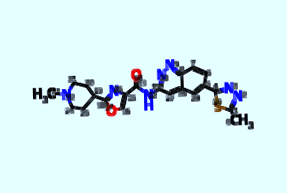 Cc1nnc(-c2ccc3nnc(NC(=O)c4coc(C5CCN(C)CC5)n4)cc3c2)s1